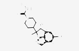 CC1(C2CCN(C(=O)NO)CC2)[C@H](O)c2cc(Cl)cc3cnn1c23